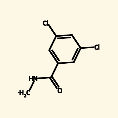 [CH2]NC(=O)c1cc(Cl)cc(Cl)c1